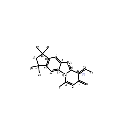 C=c1cc(C)n2c(nc3cc4c(cc32)C(C)(C)CC4(C)C)/c1=C/C